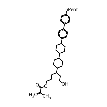 C=C(C)C(=O)OCCCC(CCO)C1CCC(C2CCC(c3ccc(-c4ccc(CCCCC)cc4)cc3)CC2)CC1